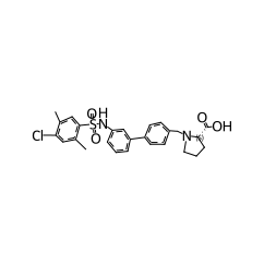 Cc1cc(S(=O)(=O)Nc2cccc(-c3ccc(CN4CCC[C@H]4C(=O)O)cc3)c2)c(C)cc1Cl